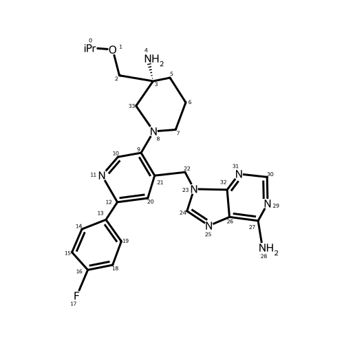 CC(C)OC[C@@]1(N)CCCN(c2cnc(-c3ccc(F)cc3)cc2Cn2cnc3c(N)ncnc32)C1